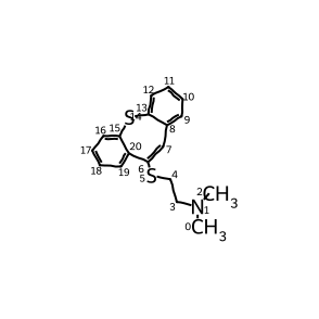 CN(C)CCSC1=Cc2ccccc2Sc2ccccc21